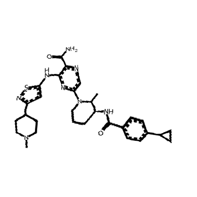 CC1[C@@H](NC(=O)c2ccc(C3CC3)cc2)CCCN1c1cnc(C(N)=O)c(Nc2cc(C3CCN(C)CC3)ns2)n1